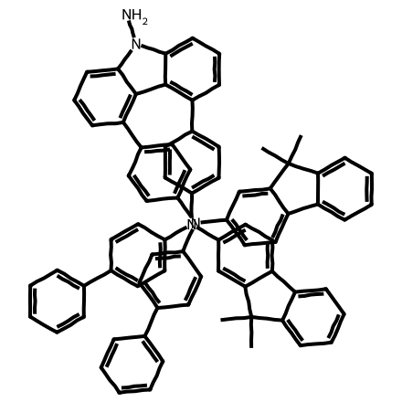 CC1(C)c2ccccc2-c2ccc(N(c3ccc(-c4ccccc4)cc3)c3ccc(-c4cccc5c4c4c(-c6ccc(N(c7ccc(-c8ccccc8)cc7)c7ccc8c(c7)C(C)(C)c7ccccc7-8)cc6)cccc4n5N)cc3)cc21